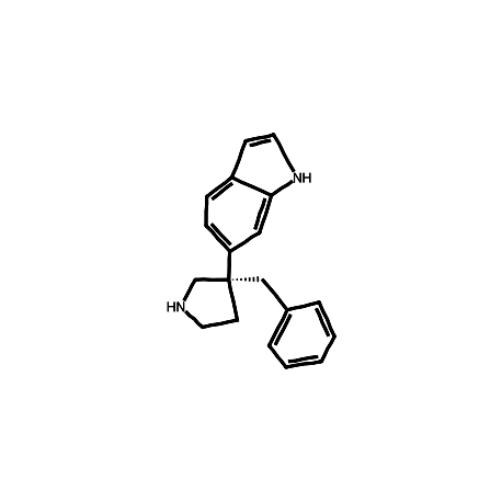 c1ccc(C[C@]2(c3ccc4cc[nH]c4c3)CCNC2)cc1